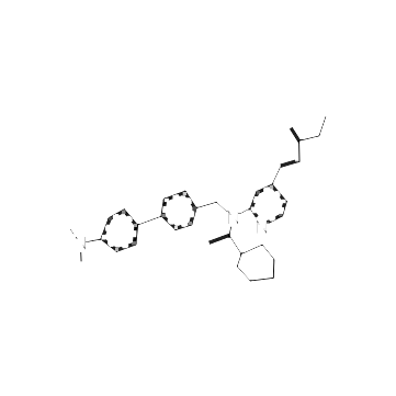 C=C(/C=C/c1ccnc(N(Cc2ccc(-c3ccc(N(C)C)cc3)cc2)C(=C)C2CCCCC2)c1)CC